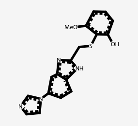 COc1cccc(O)c1SCc1nc2cc(-n3ccnc3)ccc2[nH]1